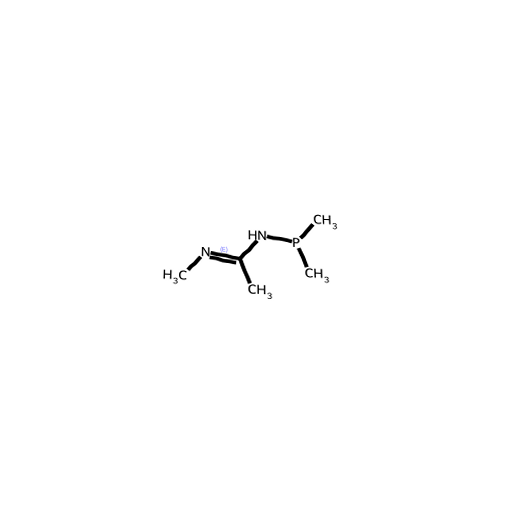 C/N=C(\C)NP(C)C